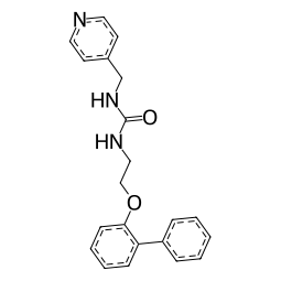 O=C(NCCOc1ccccc1-c1ccccc1)NCc1ccncc1